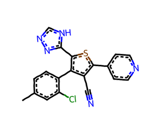 Cc1ccc(-c2c(-c3nnc[nH]3)sc(-c3ccncc3)c2C#N)c(Cl)c1